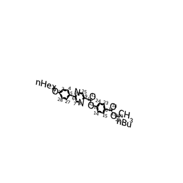 CCCCCCOc1ccc(-c2cnc(C(=O)Oc3ccc(C(=O)O[C@H](C)CCCC)cc3)cn2)cc1